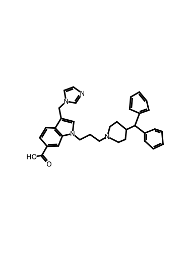 O=C(O)c1ccc2c(Cn3ccnc3)cn(CCCN3CCC(C(c4ccccc4)c4ccccc4)CC3)c2c1